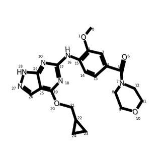 COc1cc(C(=O)N2CCOCC2)ccc1Nc1nc(OCC2CC2)c2cn[nH]c2n1